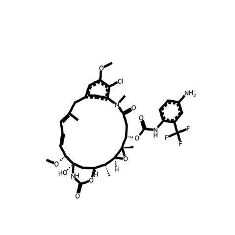 COc1cc2cc(c1Cl)N(C)C(=O)C[C@H](OC(=O)Nc1ccc(N)cc1C(F)(F)F)[C@]1(C)O[C@H]1[C@H](C)[C@@H]1C[C@@](O)(NC(=O)O1)[C@H](OC)/C=C/C=C(\C)C2